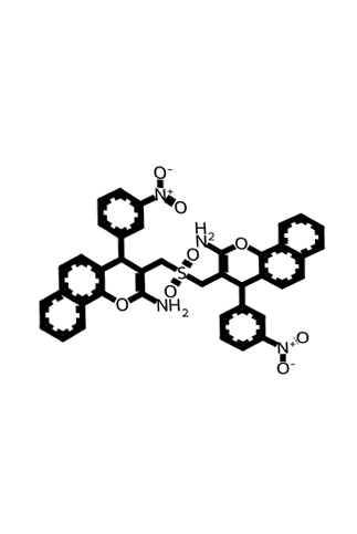 NC1=C(CS(=O)(=O)CC2=C(N)Oc3c(ccc4ccccc34)C2c2cccc([N+](=O)[O-])c2)C(c2cccc([N+](=O)[O-])c2)c2ccc3ccccc3c2O1